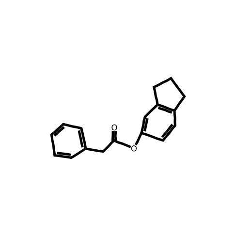 O=C(Cc1ccccc1)Oc1ccc2c(c1)CCC2